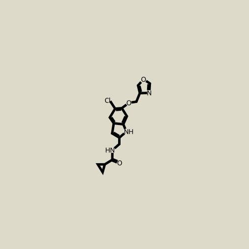 O=C(NCc1cc2cc(Cl)c(OCc3cocn3)cc2[nH]1)C1CC1